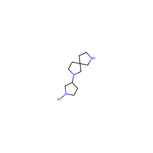 CCN1CCC(N2CCC3(CCNC3)C2)C1